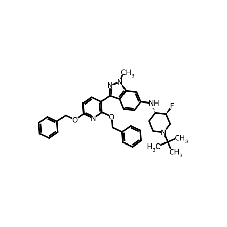 Cn1nc(-c2ccc(OCc3ccccc3)nc2OCc2ccccc2)c2ccc(N[C@H]3CCN(C(C)(C)C)C[C@@H]3F)cc21